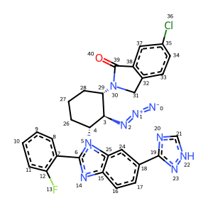 [N-]=[N+]=N[C@H]1[C@H](n2c(-c3ccccc3F)nc3ccc(-c4nc[nH]n4)cc32)CCC[C@@H]1N1Cc2ccc(Cl)cc2C1=O